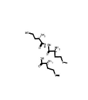 CSCC[C@H](N)C(=O)O.CSCC[C@H](N)C(=O)O.N[C@@H](CCO)C(=O)O